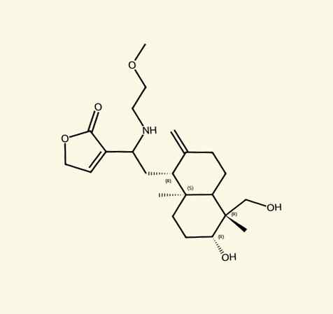 C=C1CCC2[C@](C)(CO)[C@H](O)CC[C@@]2(C)[C@@H]1CC(NCCOC)C1=CCOC1=O